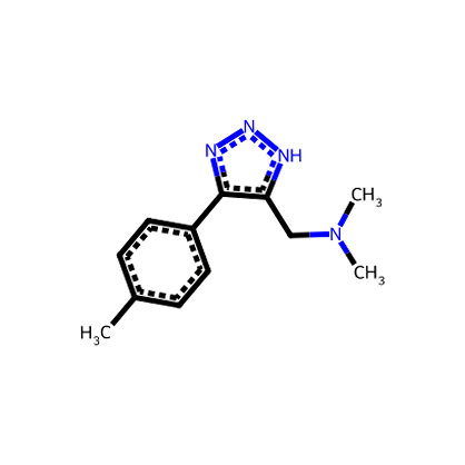 Cc1ccc(-c2nn[nH]c2CN(C)C)cc1